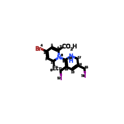 CCC1C=C(Br)C=C(C(=O)O)N1C1=C(CI)C=C(CI)CN1